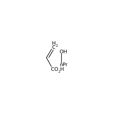 C=CC(=O)O.CCCO